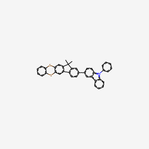 CC1(C)c2cc(-c3ccc4c(c3)c3ccccc3n4-c3ccccc3)ccc2-c2cc3c(cc21)Sc1ccccc1S3